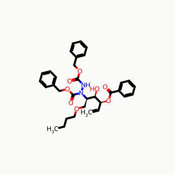 C=C[C@H](OC(=O)c1ccccc1)[C@H](O)[C@@H](COCCCC)N(NC(=O)OCc1ccccc1)C(=O)OCc1ccccc1